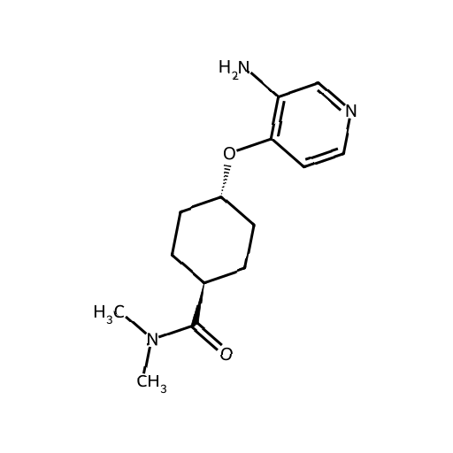 CN(C)C(=O)[C@H]1CC[C@H](Oc2ccncc2N)CC1